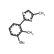 Cc1csc(-c2cccc(C(C)(C)C)c2C)n1